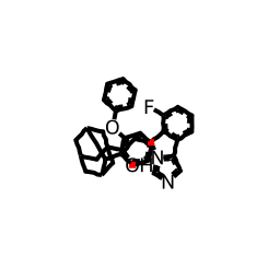 OC(CC1c2c(F)cccc2-c2cncn21)C12CC3CC(C1)C(c1ccccc1Oc1ccccc1)C(C3)C2